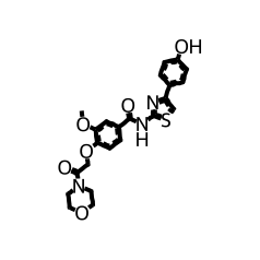 COc1cc(C(=O)Nc2nc(-c3ccc(O)cc3)cs2)ccc1OCC(=O)N1CCOCC1